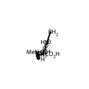 BCCCCCCCCC(=O)NCCOCCOCCNC(=O)[C@H](CCC(=O)O)NC(=O)CCn1c(CN(C)NC)cc2ccccc21